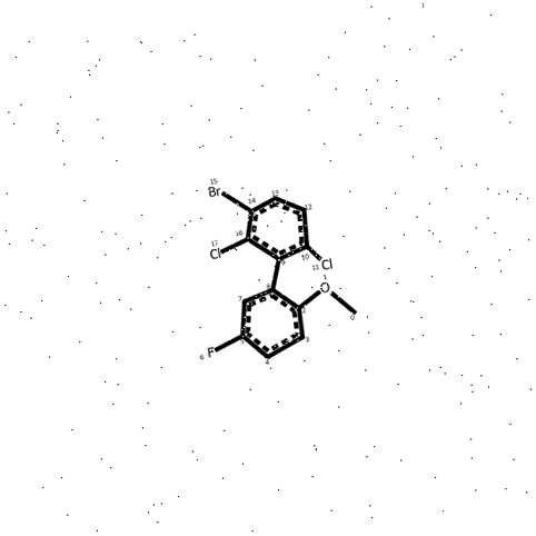 COc1ccc(F)cc1-c1c(Cl)ccc(Br)c1Cl